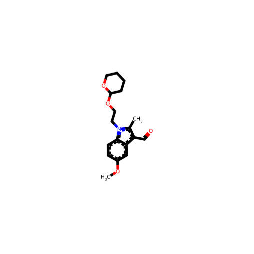 COc1ccc2c(c1)c(C=O)c(C)n2CCOC1CCCCO1